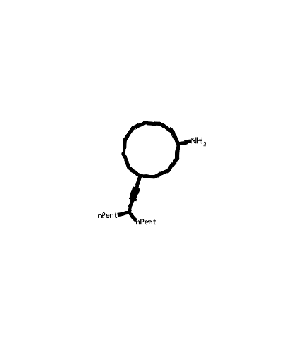 CCCCCC(C#CC1CCCCCCCC(N)CCC1)CCCCC